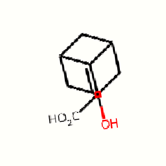 O=C(O)C=C1C2CC(O)CC1C2